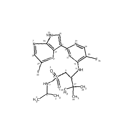 CC(C)NS(=O)(=O)CC(Nc1nc(-c2c[nH]c3ncc(F)cc23)ncc1F)C(C)(C)C